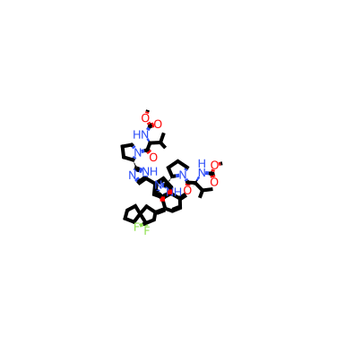 C=C(/C=C\C(=C1/CC(F)(F)C2(CCCC2)C1)c1cnc([C@@H]2CCCN2C(=O)[C@@H](NC(=O)OC)C(C)C)[nH]1)c1ccc(-c2cnc([C@@H]3CCCN3C(=O)[C@@H](NC(=O)OC)C(C)C)[nH]2)cc1